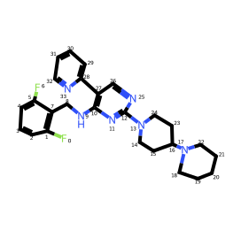 Fc1cccc(F)c1CNc1nc(N2CCC(N3CCCCC3)CC2)ncc1-c1ccccn1